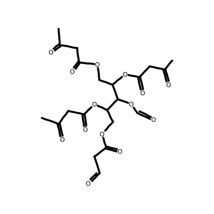 CC(=O)CC(=O)OCC(OC(=O)CC(C)=O)C(OC=O)C(COC(=O)CC=O)OC(=O)CC(C)=O